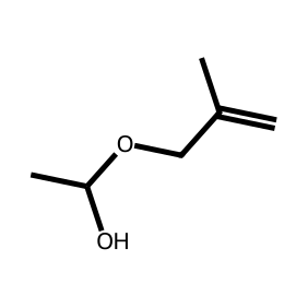 C=C(C)COC(C)O